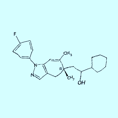 CC1=Cc2c(cnn2-c2ccc(F)cc2)C[C@@]1(C)CC(O)C1CCCCC1